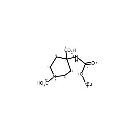 CC(C)(C)OC(=O)NC1(C(=O)O)CCN(C(=O)O)CC1